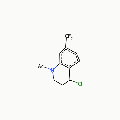 CC(=O)N1CCC(Cl)c2ccc(C(F)(F)F)cc21